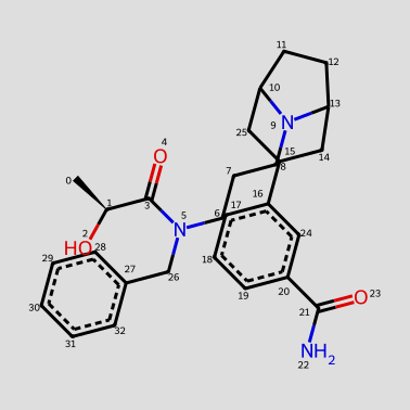 C[C@H](O)C(=O)N(CCCN1C2CCC1CC(c1cccc(C(N)=O)c1)C2)Cc1ccccc1